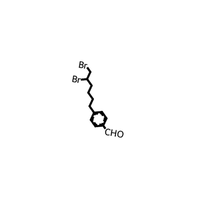 O=Cc1ccc(CCCCC(Br)CBr)cc1